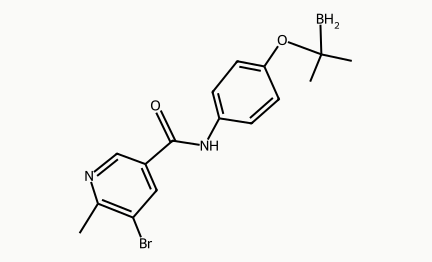 BC(C)(C)Oc1ccc(NC(=O)c2cnc(C)c(Br)c2)cc1